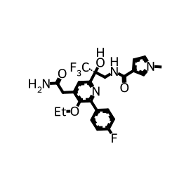 CCOc1c(CC(N)=O)cc([C@@](O)(CNC(=O)c2ccn(C)c2)C(F)(F)F)nc1-c1ccc(F)cc1